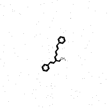 CCC(C=Cc1ccccc1)=CC=CC=Cc1ccccc1